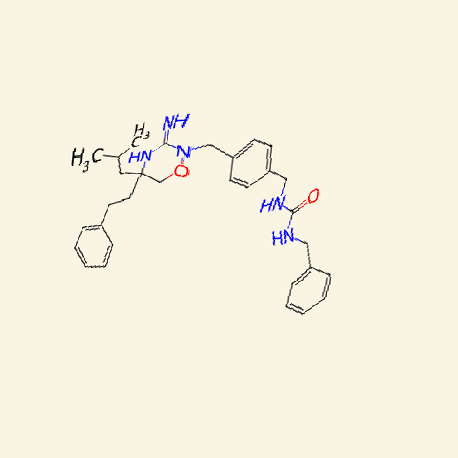 CC(C)CC1(CCc2ccccc2)CON(Cc2ccc(CNC(=O)NCc3ccccc3)cc2)C(=N)N1